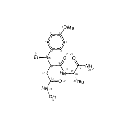 CC[C@@H](c1ccc(OC)cc1)C(CC(=O)NO)C(=O)N[C@H](C(N)=O)C(C)(C)C